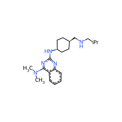 CC(C)CNC[C@H]1CC[C@@H](Nc2nc(N(C)C)c3ccccc3n2)CC1